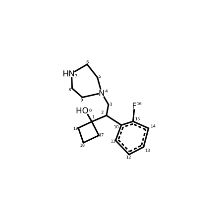 OC1(C(CN2CCNCC2)c2ccccc2F)CCC1